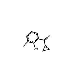 Cc1cccc(C(=O)C2CC2)c1O